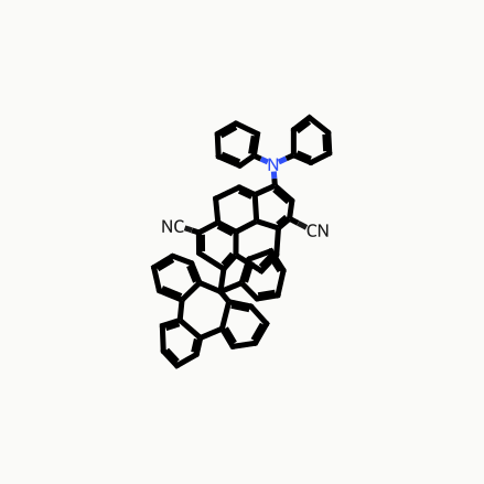 N#CC1=C2C=Cc3c(C4(c5ccccc5)c5ccccc5-c5ccccc5-c5ccccc54)cc(C#N)c4c3C2C(=CC4)C(N(c2ccccc2)c2ccccc2)=C1